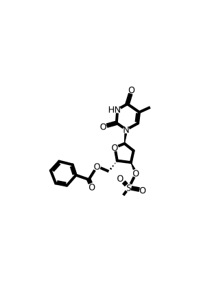 Cc1cn([C@H]2C[C@@H](OS(C)(=O)=O)[C@H](COC(=O)c3ccccc3)O2)c(=O)[nH]c1=O